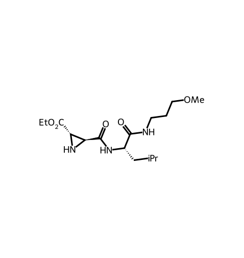 CCOC(=O)[C@H]1N[C@@H]1C(=O)N[C@@H](CC(C)C)C(=O)NCCCOC